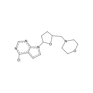 Clc1ncnc2c1ccn2C1CCC(CN2CCOCC2)O1